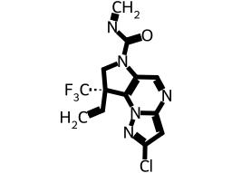 C=C[C@@]1(C(F)(F)F)CN(C(=O)N=C)c2cnc3cc(Cl)nn3c21